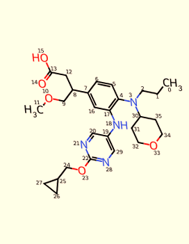 CCCN(c1ccc(C(COC)CC(=O)O)cc1Nc1cnc(OCC2CC2)nc1)C1CCOCC1